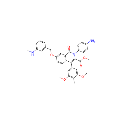 CNc1cccc(COc2ccc3c(-c4cc(OC)c(C)c(OC)c4)c(C(=O)OC)n(-c4ccc(N)cc4)c(=O)c3c2)c1